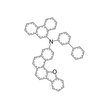 c1ccc(-c2cccc(N(c3ccc4c(ccc5ccc6c7ccccc7oc6c54)c3)c3cc4ccccc4c4ccccc34)c2)cc1